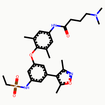 CCS(=O)(=O)Nc1cc(Oc2c(C)cc(NC(=O)CCCN(C)C)cc2C)cc(-c2c(C)noc2C)c1